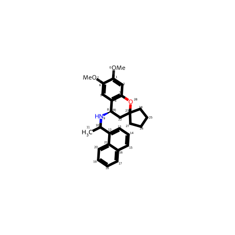 COc1cc2c(cc1OC)[C@H](NC(C)c1cccc3ccccc13)CC1(CCCC1)O2